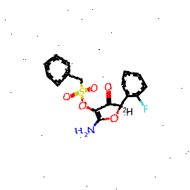 [2H]C1(c2ccccc2F)OC(N)=C(OS(=O)(=O)Cc2ccccc2)C1=O